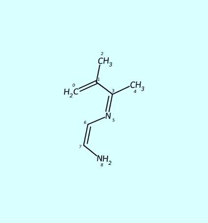 C=C(C)/C(C)=N\C=C/N